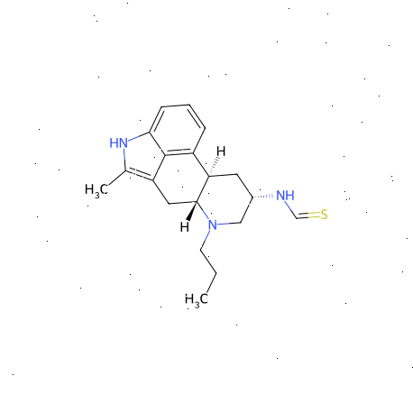 CCCN1C[C@@H](NC=S)C[C@@H]2c3cccc4[nH]c(C)c(c34)C[C@H]21